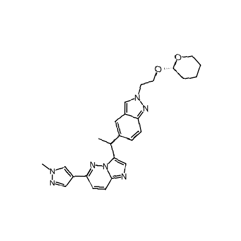 CC(c1ccc2nn(CCO[C@H]3CCCCO3)cc2c1)c1cnc2ccc(-c3cnn(C)c3)nn12